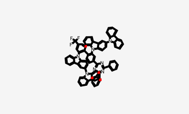 FC(F)(F)c1ccc(-c2ccc(-c3nc(-c4ccccc4)nc(-c4ccccc4)n3)cc2-n2c3ccccc3c3cc(-n4c5ccccc5c5ccccc54)ccc32)c(-n2c3ccccc3c3cc(-n4c5ccccc5c5ccccc54)ccc32)c1